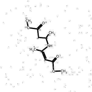 COC(=O)C=C(C)NC(C)CC(=O)OC